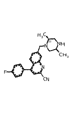 CC1CN(Cc2ccc3c(-c4ccc(F)cc4)cc(C#N)nc3c2)[C@@H](C)CN1